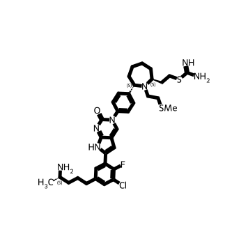 CSCCN1[C@H](CCSC(=N)N)CCCC[C@H]1c1ccc(-n2cc3cc(-c4cc(CCC[C@H](C)N)cc(Cl)c4F)[nH]c3nc2=O)cc1